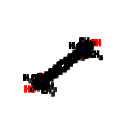 CC(C)c1cc(O)cc(C(C)C)c1N1C(=O)c2cc3c(cc2C1=O)=CC1C=C2/C=C\C4=CC5C=c6cc7c(cc6=CC5C=C4/C=C\C2=CC1C=3)C(=O)N(c1c(C(C)C)cc(O)cc1C(C)C)C7=O